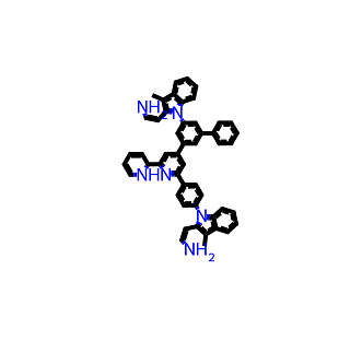 Cc1c(/C=C\N)n(-c2ccc(-c3cc(-c4cc(-c5ccccc5)cc(-n5c(/C=C\N)c(C)c6ccccc65)c4)cc(C4C=CC=CN4)n3)cc2)c2ccccc12